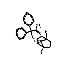 CN1[C@@H]2CC[C@H]1C[C@@H](CC(C(N)=O)(c1ccccc1)c1ccccc1)C2